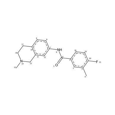 Cc1cc(C(=O)Nc2ccc3c(c2)CN(C)CC3)ccc1F